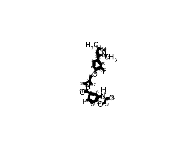 Cc1cc(-c2ccc(OCC3CN(C(=O)c4cc5c(cc4F)OCC(=O)N5)C3)c(F)c2)n(C)n1